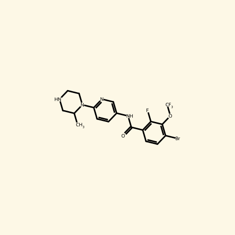 CC1CNCCN1c1ccc(NC(=O)c2ccc(Br)c(OC(F)(F)F)c2F)cn1